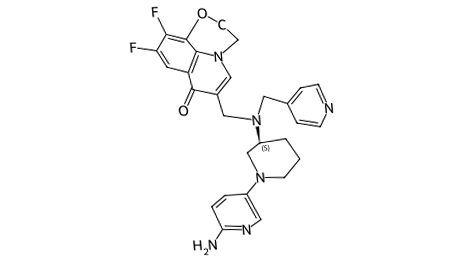 Nc1ccc(N2CCC[C@H](N(Cc3ccncc3)Cc3cn4c5c(c(F)c(F)cc5c3=O)OCC4)C2)cn1